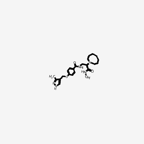 Cc1n[nH]cc1COc1ccc(C(=O)NCC(C(=O)NO)N2CCCCCCC2)cc1